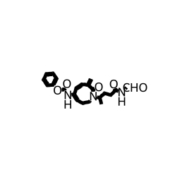 C=C1/C=C\C(NC(=O)Oc2ccccc2)=C/CCN(C(C)CCC(=O)NC=O)C1=O